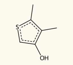 Cc1scc(O)c1C